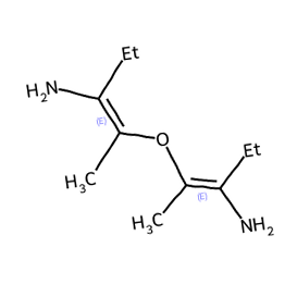 CC/C(N)=C(/C)O/C(C)=C(/N)CC